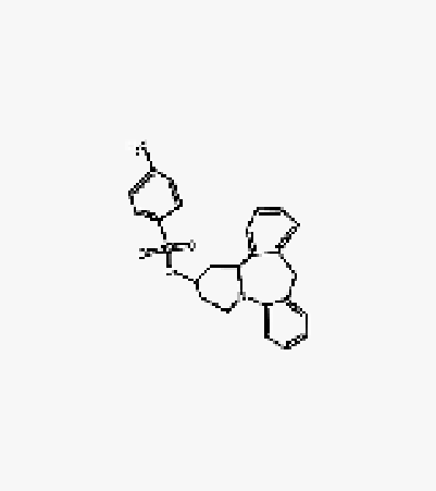 Cc1ccc(S(=O)(=O)OC2CCN3c4ccccc4Cc4ccccc4C3C2)cc1